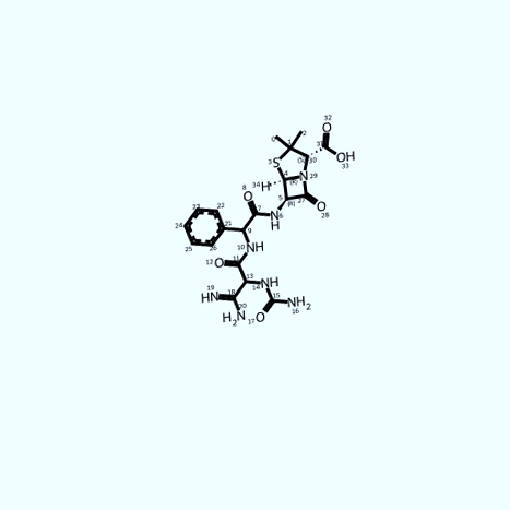 CC1(C)S[C@@H]2[C@H](NC(=O)C(NC(=O)C(NC(N)=O)C(=N)N)c3ccccc3)C(=O)N2[C@H]1C(=O)O